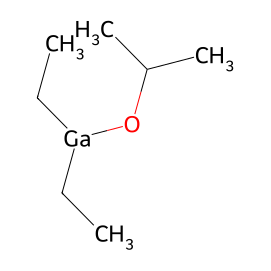 C[CH2][Ga]([CH2]C)[O]C(C)C